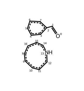 O=Cc1ccccc1.c1cccc[nH]ccc1